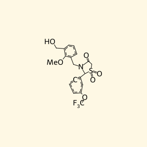 COc1c(CO)cccc1CN1C(=O)CS(=O)(=O)C1c1cccc(OC(F)(F)F)c1